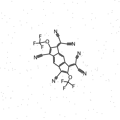 N#CC(C#N)=C1C(OC(F)(F)F)=C(C#N)c2cc3c(cc21)C(=C(C#N)C#N)C(OC(F)(F)F)=C3C#N